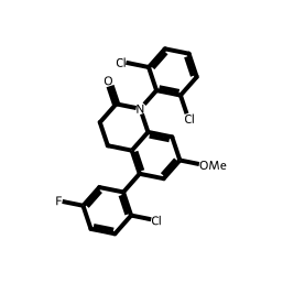 COc1cc(-c2cc(F)ccc2Cl)c2c(c1)N(c1c(Cl)cccc1Cl)C(=O)CC2